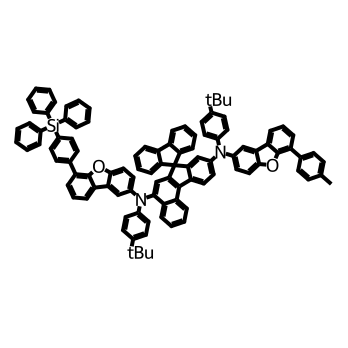 Cc1ccc(-c2cccc3c2oc2ccc(N(c4ccc(C(C)(C)C)cc4)c4ccc5c(c4)C4(c6ccccc6-c6ccccc64)c4cc(N(c6ccc(C(C)(C)C)cc6)c6ccc7oc8c(-c9ccc([Si](c%10ccccc%10)(c%10ccccc%10)c%10ccccc%10)cc9)cccc8c7c6)c6ccccc6c4-5)cc23)cc1